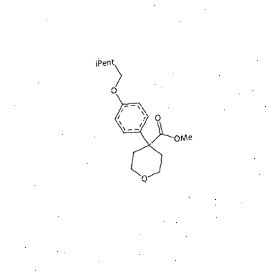 CCCC(C)COc1ccc(C2(C(=O)OC)CCOCC2)cc1